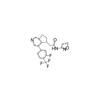 O=C(CC1CCc2cncc(-c3ccc(C(F)(F)F)c(F)c3)c21)Nc1ccon1